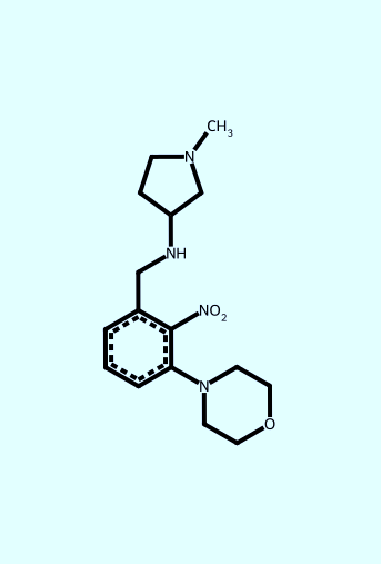 CN1CCC(NCc2cccc(N3CCOCC3)c2[N+](=O)[O-])C1